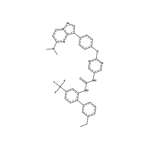 CCc1cccc(-c2ccc(C(F)(F)F)cc2NC(=O)Nc2cnc(Oc3ccc(-c4cnn5ccc(N(C)C)nc45)cc3)nc2)c1